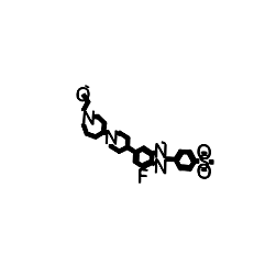 COCCN1CCCC(N2CCC(c3cc(F)c4nc(-c5ccc(S(C)(=O)=O)cc5)n(C)c4c3)CC2)CC1